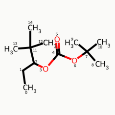 CCC(OC(=O)OC(C)(C)C)C(C)(C)C